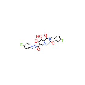 O=C(NCc1ccc(F)cc1)c1cn2c(c(O)c1=O)C(=O)N(Cc1ccc(F)cc1)C(=O)C2